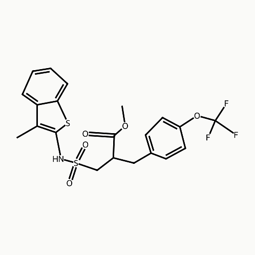 COC(=O)C(Cc1ccc(OC(F)(F)F)cc1)CS(=O)(=O)Nc1sc2ccccc2c1C